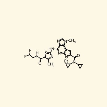 CCn1c(C(=O)N(C2CC2)C2CC2)cc2c3c(ncn3C)c(Nc3nc(C)c(C(=O)NCC(F)F)s3)nc21